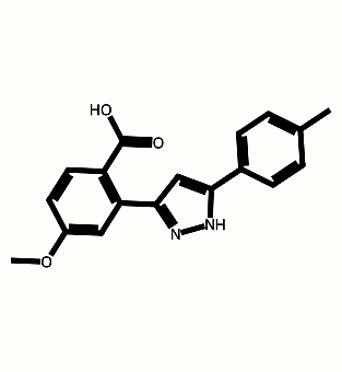 COc1ccc(C(=O)O)c(-c2cc(-c3ccc(C)cc3)[nH]n2)c1